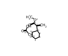 C=C(C(=O)OC)C1CCCCC1.CC(=O)O